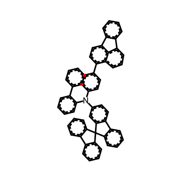 c1ccc(-c2ccccc2N(c2ccc(-c3ccc4c5c(cccc35)-c3ccccc3-4)cc2)c2ccc3c(c2)C2(c4ccccc4-c4ccccc42)c2ccccc2-3)cc1